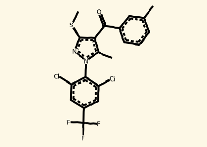 CSc1nn(-c2c(Cl)cc(C(F)(F)F)cc2Cl)c(C)c1C(=O)c1cccc(C)c1